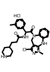 Cc1cccc(C(NC(=O)CCC2CCNCC2)C(=O)N2Cc3c(Cl)nn(C)c3Nc3ccccc32)c1.Cl